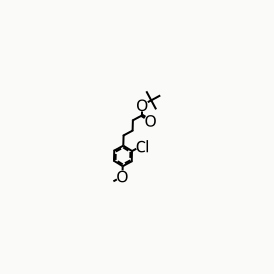 COc1ccc(CCCC(=O)OC(C)(C)C)c(Cl)c1